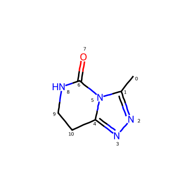 Cc1nnc2n1C(=O)NCC2